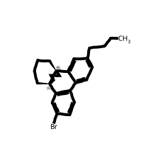 CCCCc1ccc2c(c1)[C@@]13CCCC[C@@]1(CCC3)c1cc(Br)ccc1-2